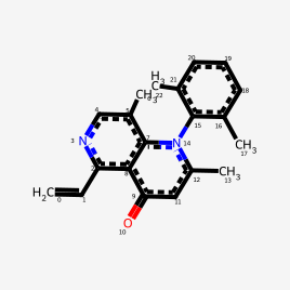 C=Cc1ncc(C)c2c1c(=O)cc(C)n2-c1c(C)cccc1C